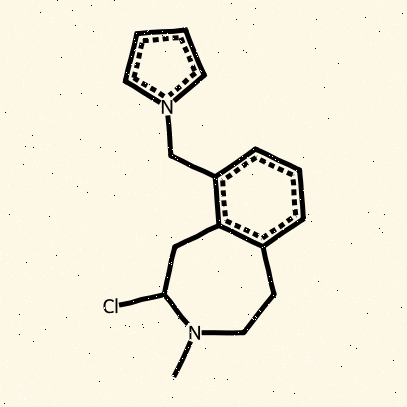 CN1CCc2cccc(Cn3cccc3)c2CC1Cl